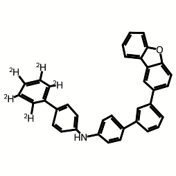 [2H]c1c([2H])c([2H])c(-c2ccc(Nc3ccc(-c4cccc(-c5ccc6oc7ccccc7c6c5)c4)cc3)cc2)c([2H])c1[2H]